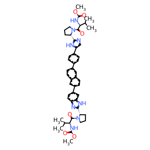 COC(=O)N[C@H](C(=O)N1CCC[C@H]1c1ncc(-c2ccc(-c3ccc4cc(-c5ccc6nc([C@@H]7CCCN7C(=O)[C@@H](NC(=O)OC)C(C)C)[nH]c6c5)ccc4c3)cc2)[nH]1)C(C)C